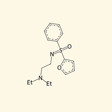 CCN(CC)CCN=S(=O)(c1ccccc1)c1ccco1